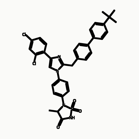 CC1C(=O)NS(=O)(=O)N1c1ccc(-n2cc(-c3ccc(Cl)cc3Cl)nc2Cc2ccc(-c3ccc(C(C)(C)C)cc3)cc2)cc1